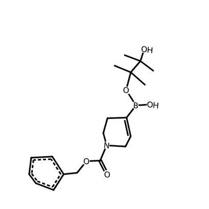 CC(C)(O)C(C)(C)OB(O)C1=CCN(C(=O)OCc2ccccc2)CC1